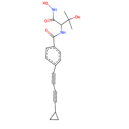 CC(C)(O)C(NC(=O)c1ccc(C#CC#CC2CC2)cc1)C(=O)NO